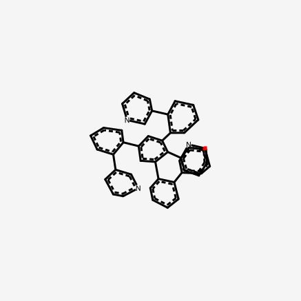 c1ccc(-c2c(-c3ccccc3-c3cccnc3)cc(-c3ccccc3-c3cccnc3)cc2-c2ccccc2-c2cccnc2)cc1